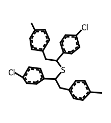 Cc1ccc(CC(SC(Cc2ccc(C)cc2)c2ccc(Cl)cc2)c2ccc(Cl)cc2)cc1